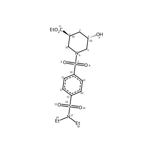 CCOC(=O)[C@H]1C[C@H](O)CN(S(=O)(=O)c2ccc(S(=O)(=O)N(CC)CC)cc2)C1